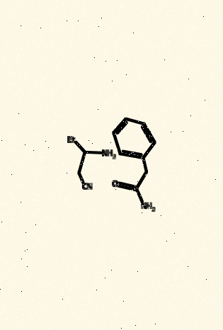 CCC(N)CC#N.NC(=O)Cc1ccccc1